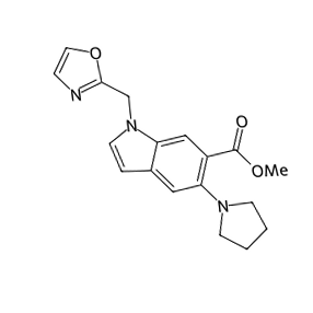 COC(=O)c1cc2c(ccn2Cc2ncco2)cc1N1CCCC1